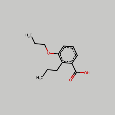 CCCOc1cccc(C(=O)O)c1CCC